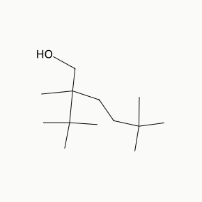 CC(C)(C)CCC(C)(CO)C(C)(C)C